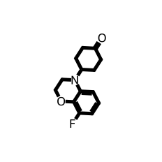 O=C1CCC(N2CCOc3c(F)cccc32)CC1